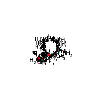 CC[C@H](C)[C@@H]1NC(=O)[C@@H](CCCNC(=N)N)NC(=O)[C@H](CC(C)C)NC(=O)[C@H]([C@H](O)C(C)C)NC(=O)[C@@H](NC(=O)[C@H](CC(C)(C)C)NC(=O)[C@@H](CC(C)(C)C)NC(=O)OCc2ccccc2)[C@@H](c2ccccc2)NC(=O)[C@H](CO)NC(=O)[C@H]([C@H](O)C(N)=O)NC(=O)CNC(=O)[C@H]([C@@H](C)O)NC1=O